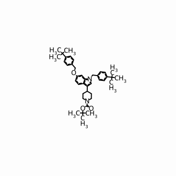 CC(C)(C)OC(=O)N1CCC(c2cn(Cc3ccc(C(C)(C)C)cc3)c3cc(OCc4ccc(C(C)(C)C)cc4)ccc23)CC1